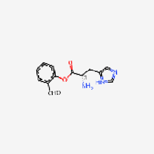 N[C@@H](Cc1cnc[nH]1)C(=O)Oc1ccccc1C=O